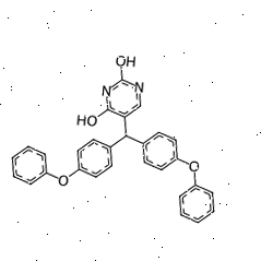 Oc1ncc(C(c2ccc(Oc3ccccc3)cc2)c2ccc(Oc3ccccc3)cc2)c(O)n1